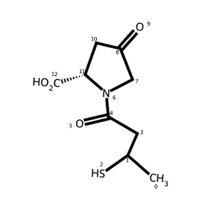 CC(S)CC(=O)N1CC(=O)C[C@H]1C(=O)O